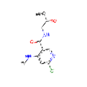 COC(=O)CNC(=O)c1cnc(Cl)cc1NC(C)C